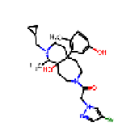 Cc1ccc(O)cc1C12CCN(C(=O)Cn3cc(Br)cn3)CCC1(O)C(C)N(CC1CC1)CC2